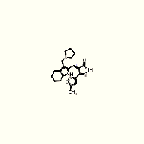 Cc1cc(C2=NNC(=O)/C2=C/c2[nH]c3c(c2CN2CCCC2)CCCC3)no1